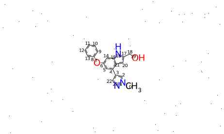 Cn1cc(-c2cc(Oc3ccccc3)cc3[nH]c(CO)cc23)cn1